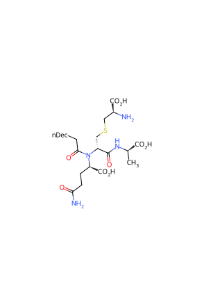 CCCCCCCCCCCC(=O)N([C@H](CCC(N)=O)C(=O)O)[C@H](CSC[C@H](N)C(=O)O)C(=O)N[C@H](C)C(=O)O